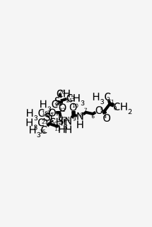 C=C(C)C(=O)OCCNC(=O)N[SiH](CCC)C(O[Si](C)(C)C)O[Si](C)(C)C